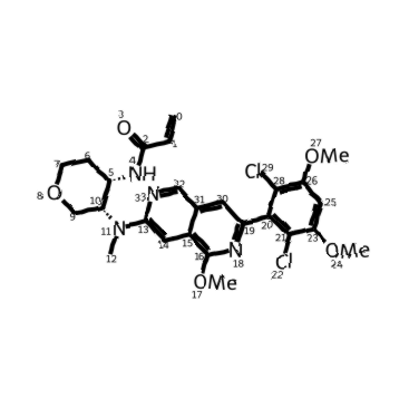 C=CC(=O)N[C@H]1CCOC[C@H]1N(C)c1cc2c(OC)nc(-c3c(Cl)c(OC)cc(OC)c3Cl)cc2cn1